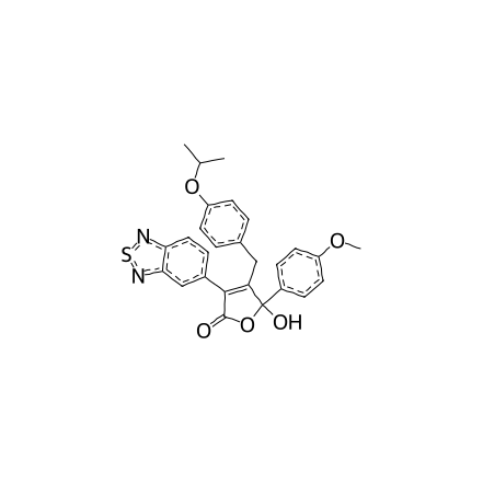 COc1ccc(C2(O)OC(=O)C(c3ccc4nsnc4c3)=C2Cc2ccc(OC(C)C)cc2)cc1